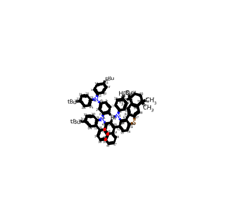 CC(C)(C)c1ccc(N2B3c4ccc(N(c5ccc(C(C)(C)C)cc5)c5ccc(C(C)(C)C)cc5)cc4N(c4ccc(C(C)(C)C)cc4-c4ccccc4)c4cc5ccccc5c(c43)-c3ccc4sc5cc6c(cc5c4c32)C(C)(C)CCC6(C)C)cc1